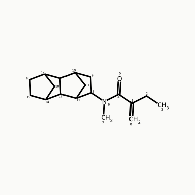 C=C(CC)C(=O)N(C)C1CC2CC1C1C3CCC(C3)C21